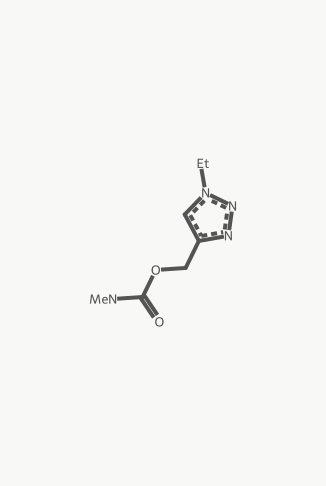 CCn1cc(COC(=O)NC)nn1